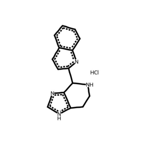 Cl.c1ccc2nc(C3NCCc4[nH]cnc43)ccc2c1